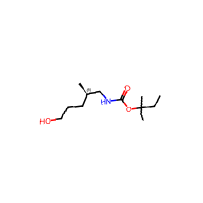 CCC(C)(C)OC(=O)NC[C@H](C)CCCO